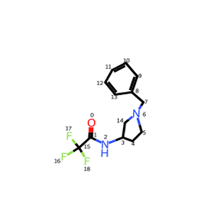 O=C(NC1CCN(Cc2ccccc2)C1)C(F)(F)F